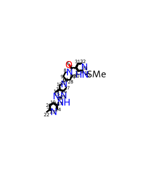 CSNc1cc(C(=O)N2CC[C@H](N3Cc4cnc(Nc5ccc(C)nc5)nc4C3)C[C@H]2C)ccn1